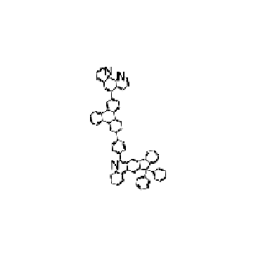 c1ccc(C2(c3ccccc3)c3ccccc3-c3cc4c(-c5ccc(-c6ccc7c8ccc(-c9cc%10cccnc%10c%10ncccc9%10)cc8c8ccccc8c7c6)cc5)nc5ccccc5c4cc32)cc1